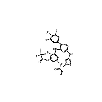 C=CC(=O)Nc1ccc(F)c(Nc2nc(Nc3cnn(C)c3)ncc2-c2cc(F)c(C(F)(F)F)c(F)c2)c1.O=C(O)C(F)(F)F